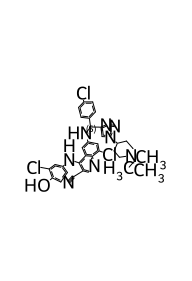 CC(C)(C)N1CCC(n2cc([C@@H](Nc3cc(Cl)c4ncc(C#N)c(Nc5ccc(O)c(Cl)c5)c4c3)c3ccc(Cl)cc3)nn2)CC1